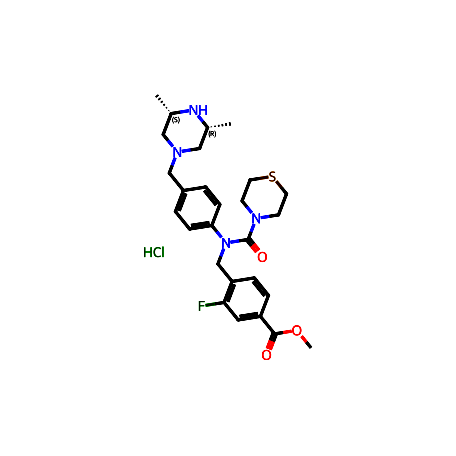 COC(=O)c1ccc(CN(C(=O)N2CCSCC2)c2ccc(CN3C[C@@H](C)N[C@@H](C)C3)cc2)c(F)c1.Cl